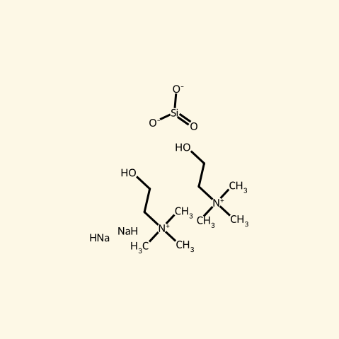 C[N+](C)(C)CCO.C[N+](C)(C)CCO.O=[Si]([O-])[O-].[NaH].[NaH]